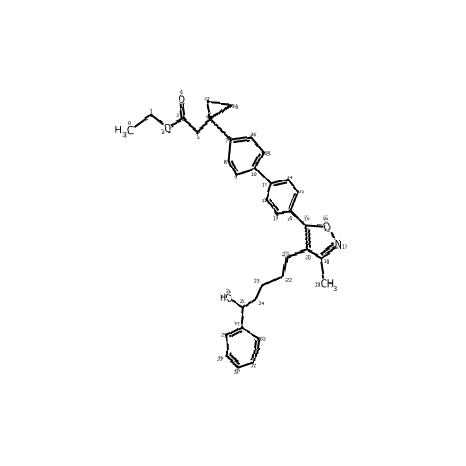 CCOC(=O)CC1(c2ccc(-c3ccc(-c4onc(C)c4CCCCC(O)c4ccccc4)cc3)cc2)CC1